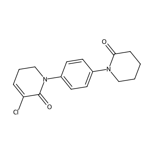 O=C1CCCCN1c1ccc(N2CCC=C(Cl)C2=O)cc1